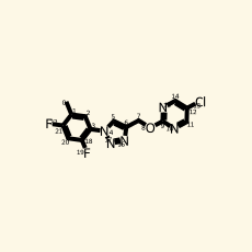 Cc1cc(-n2cc(COc3ncc(Cl)cn3)nn2)c(F)cc1F